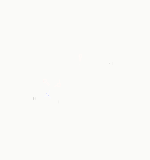 CN(C)C(=O)Oc1cccc(C(=O)CCc2ccccc2C(F)(F)F)c1